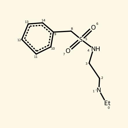 CC[N]CCNS(=O)(=O)Cc1ccccc1